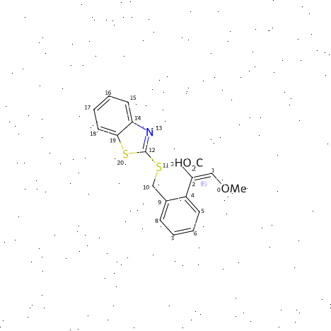 CO/C=C(/C(=O)O)c1ccccc1CSc1nc2ccccc2s1